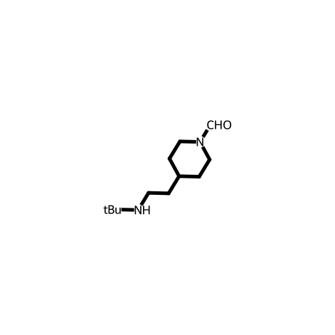 CC(C)(C)NCCC1CCN(C=O)CC1